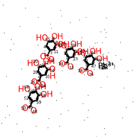 O=C([O-])c1cc(O)c(O)c(O)c1.O=C([O-])c1cc(O)c(O)c(O)c1.O=C([O-])c1cc(O)c(O)c(O)c1.O=C([O-])c1cc(O)c(O)c(O)c1.O=C([O-])c1cc(O)c(O)c(O)c1.[Bi+3].[Pb+2]